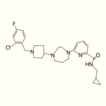 O=C(NCC1CC1)c1cccc(N2CCCN(C3CCN(Cc4ccc(F)cc4Cl)CC3)CC2)n1